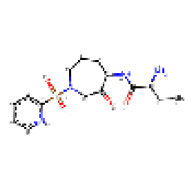 CC(C)(C)C[C@H](N)C(=O)N[C@@H]1CCCN(S(=O)(=O)c2ccccn2)CC1=O